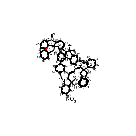 CN1/C(=C/C=C/C2=[N+](Cc3ccc(C[N+]4=C(/C=C/C=C5/N(C)c6ccccc6C5(Cc5ccccc5)Cc5ccccc5)C(C)(C)c5cc([N+](=O)[O-])ccc54)cc3)c3ccc([N+](=O)[O-])cc3C2(C)C)C(Cc2ccccc2)(Cc2ccccc2)c2ccccc21